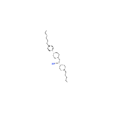 CCCCCCc1ccc([C@H]2CC[C@H](CC(C#N)[C@H]3CC[C@H](CCCCC)CC3)CC2)cc1